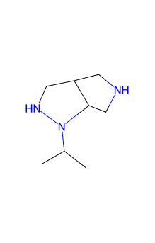 CC(C)N1NCC2CNCC21